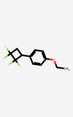 CCOc1ccc(C2CC(F)(F)C2(F)F)cc1